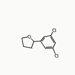 Clc1cc(Cl)cc(C2[CH]CCO2)c1